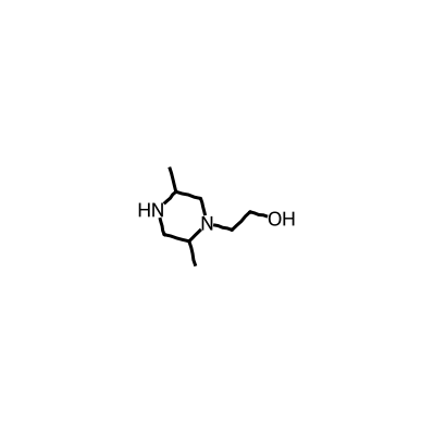 CC1CN(CCO)C(C)CN1